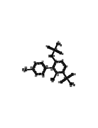 CS(=O)(=O)Nc1ccc(S(N)(=O)=O)c(S)c1-c1ccc(C(F)(F)F)cn1